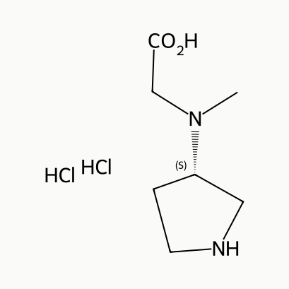 CN(CC(=O)O)[C@H]1CCNC1.Cl.Cl